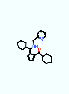 O=C(C1=CC=CC1=C(NCc1ccccn1)C1CCCCC1)C1CCCCC1